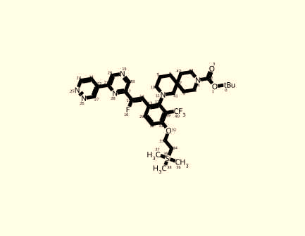 CC(C)(C)OC(=O)N1CCC2(CCCN(c3c(/C=C(\F)c4cncc(-c5ccnnc5)n4)ccc(OCC[Si](C)(C)C)c3C(F)(F)F)C2)CC1